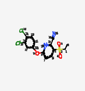 CCS(=O)(=O)c1ccc(Oc2ccc(Cl)c(Cl)c2)nc1C#N